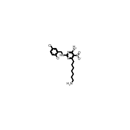 NCCCCCCCc1nc(NCc2cc(Cl)ccc2Cl)nc(N)c1[N+](=O)[O-]